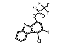 O=S(=O)(Oc1cc(I)c(Cl)c2c1sc1ccccc12)C(F)(F)F